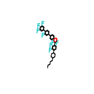 CCCCCC1CCC(c2ccc(C(F)(F)Oc3ccc(-c4ccc(-c5cc(F)c(F)c(F)c5)c(F)c4)cc3)c(F)c2F)CC1